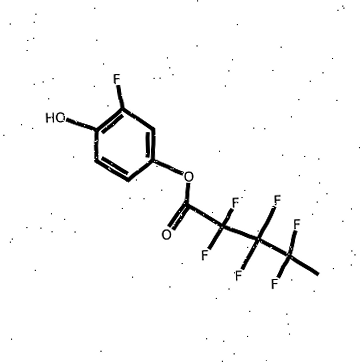 CC(F)(F)C(F)(F)C(F)(F)C(=O)Oc1ccc(O)c(F)c1